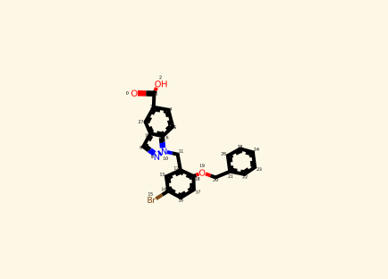 O=C(O)c1ccc2c(cnn2Cc2cc(Br)ccc2OCc2ccccc2)c1